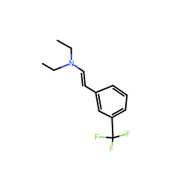 CCN(C=Cc1cccc(C(F)(F)F)c1)CC